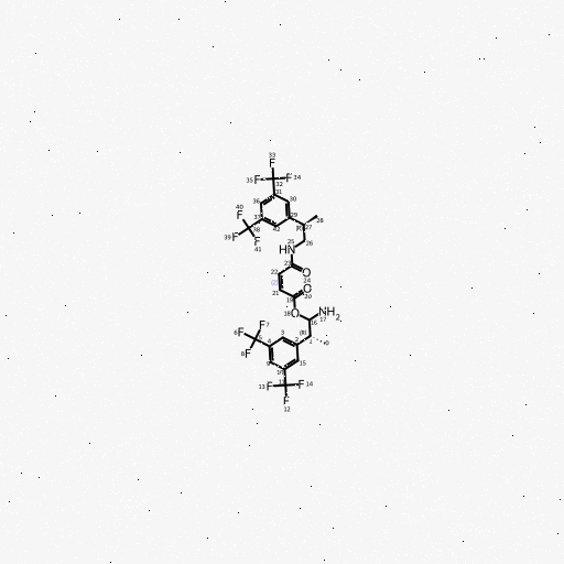 C[C@H](c1cc(C(F)(F)F)cc(C(F)(F)F)c1)C(N)OC(=O)/C=C\C(=O)NC[C@H](C)c1cc(C(F)(F)F)cc(C(F)(F)F)c1